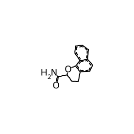 NC(=O)C1CCc2ccc3ccccc3c2O1